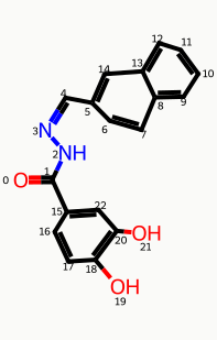 O=C(N/N=C\c1ccc2ccccc2c1)c1ccc(O)c(O)c1